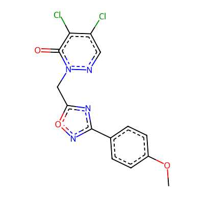 COc1ccc(-c2noc(Cn3ncc(Cl)c(Cl)c3=O)n2)cc1